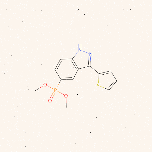 COP(=O)(OC)c1ccc2[nH]nc(-c3cccs3)c2c1